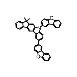 CC1(C)c2ccccc2-c2cc3c4cc(-c5ccc6oc7ccccc7c6c5)ccc4n(-c4ccc5oc6ccccc6c5c4)c3cc21